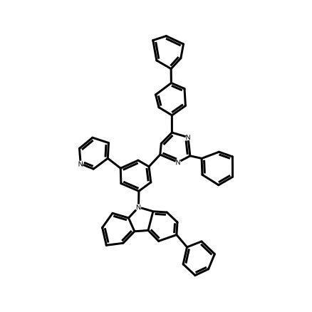 c1ccc(-c2ccc(-c3cc(-c4cc(-c5cccnc5)cc(-n5c6ccccc6c6cc(-c7ccccc7)ccc65)c4)nc(-c4ccccc4)n3)cc2)cc1